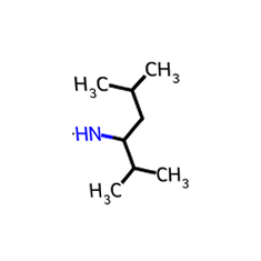 CC(C)CC([NH])C(C)C